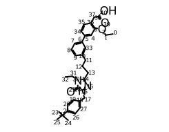 CCOc1cc(-c2cccc(CCCc3nn(Cc4ccc(C(C)(C)C)cc4)c(=O)n3CC)c2)ccc1CC(=O)O